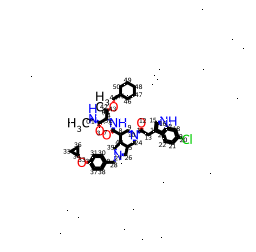 CNC(=O)[C@@H](NC(=O)C1CN(C(=O)Cc2c[nH]c3cc(Cl)ccc23)CC2CN(Cc3ccc(OC4CC4)cc3)CC21)[C@@H](C)OCC1CCCCC1